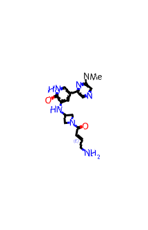 CNc1cncc(-c2c[nH]c(=O)c(NC3CN(C(=O)/C=C/CN)C3)c2)n1